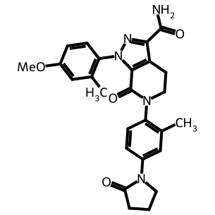 COc1ccc(-n2nc(C(N)=O)c3c2C(=O)N(c2ccc(N4CCCC4=O)cc2C)CC3)c(C)c1